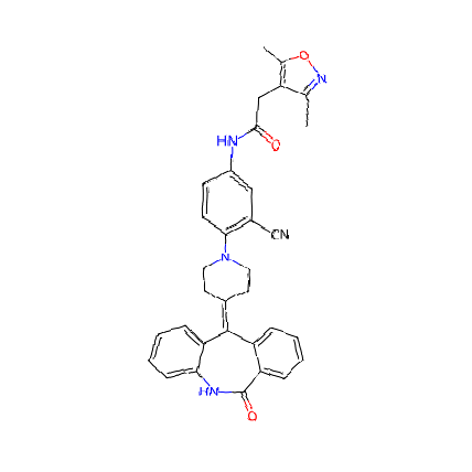 Cc1noc(C)c1CC(=O)Nc1ccc(N2CCC(=C3c4ccccc4NC(=O)c4ccccc43)CC2)c(C#N)c1